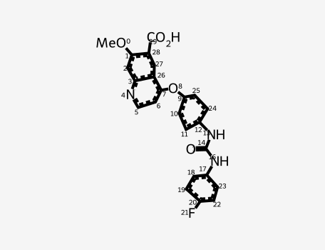 COc1cc2nccc(Oc3ccc(NC(=O)Nc4ccc(F)cc4)cc3)c2cc1C(=O)O